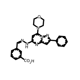 O=C(O)c1cccc(/C=N\Nc2cc(N3CCOCC3)n3nc(-c4ccccc4)cc3n2)c1